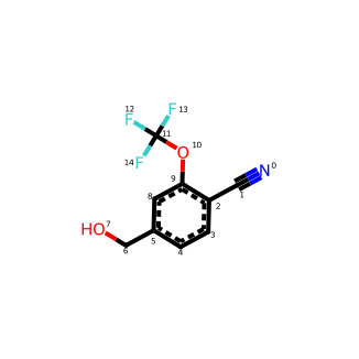 N#Cc1ccc(CO)cc1OC(F)(F)F